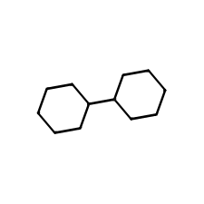 [CH]1CCCCC1C1[CH]CCCC1